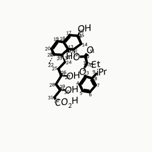 CC[C@H](Oc1ccccc1C(C)C)C(=O)O[C@H]1C[C@H](O)C=C2C=C[C@@H](C)[C@H](CC[C@@H](O)C[C@@H](O)CC(=O)O)[C@H]21